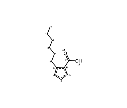 CCCCCCc1ccsc1C(=O)O